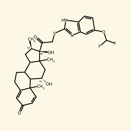 C[C@@H]1CC2C3CCC4=CC(=O)C=CC4(C)C3[C@@H](O)CC2(C)[C@@]1(O)C(=O)CSc1nc2cc(OC(F)F)ccc2[nH]1